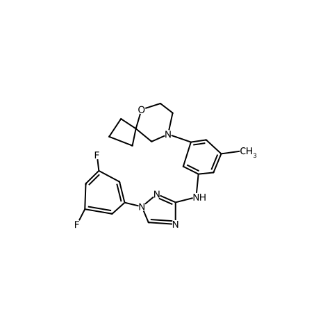 Cc1cc(Nc2ncn(-c3cc(F)cc(F)c3)n2)cc(N2CCOC3(CCC3)C2)c1